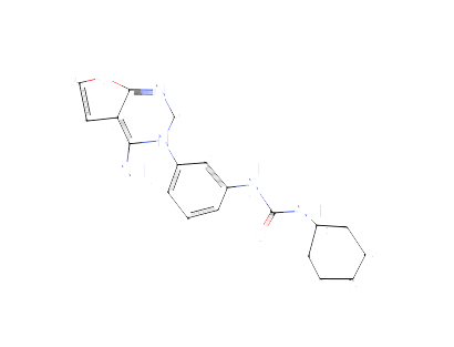 NC1=c2ccoc2=NCN1c1cccc(NC(=O)NC2CCCCC2)c1